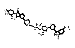 C[C@@H]1CN(c2cc(-c3n[nH]c4ccc(N)cc34)ccn2)C[C@H](C)N1CCOCCN1CCN(c2ccc3c(c2)C(=O)N(C2CCC(=O)NC2=O)C3=O)CC1